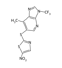 Cc1c(Sc2ncc([N+](=O)[O-])s2)cnc2c1ncn2C(F)(F)F